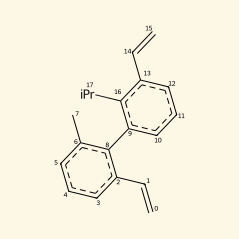 C=Cc1cccc(C)c1-c1cccc(C=C)c1C(C)C